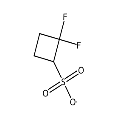 [O]S(=O)(=O)C1CCC1(F)F